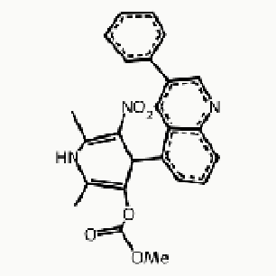 COC(=O)OC1=C(C)NC(C)=C([N+](=O)[O-])C1c1cccc2ncc(-c3ccccc3)cc12